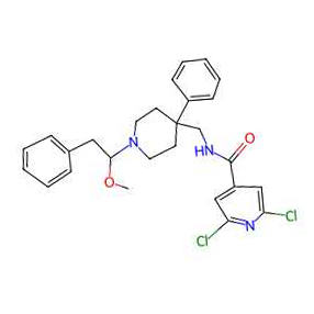 COC(Cc1ccccc1)N1CCC(CNC(=O)c2cc(Cl)nc(Cl)c2)(c2ccccc2)CC1